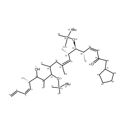 C=C/C=C\[C@H](C)C(O)C(C)C(O[Si](C)(C)C(C)(C)C)C(C)C/C(C)=C\[C@H](C)[C@@H](O[Si](C)(C)C(C)(C)C)[C@@H](C)/C=C\C(=O)CC1CCCC1